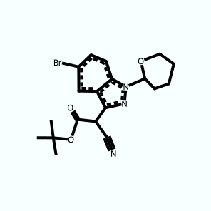 CC(C)(C)OC(=O)C(C#N)c1nn(C2CCCCO2)c2ccc(Br)cc12